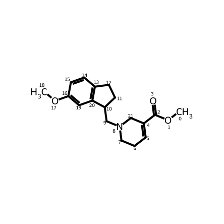 COC(=O)C1=CCCN(CC2CCc3ccc(OC)cc32)C1